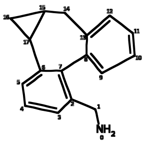 NCc1cccc2c1-c1ccccc1CC1CC21